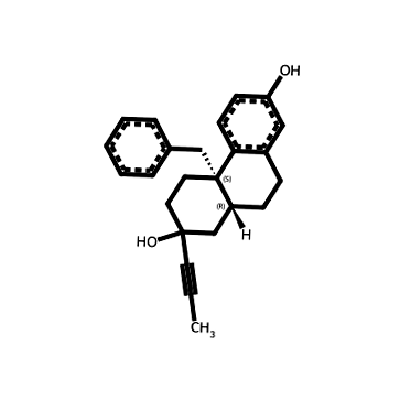 CC#CC1(O)CC[C@@]2(Cc3ccccc3)c3ccc(O)cc3CC[C@@H]2C1